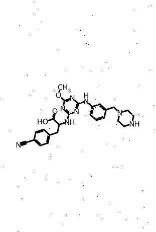 COc1nc(Nc2cccc(CN3CCNCC3)c2)nc(NC(Cc2ccc(C#N)cc2)C(=O)O)n1